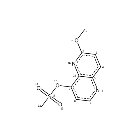 COc1ccc2nccc(OS(C)(=O)=O)c2n1